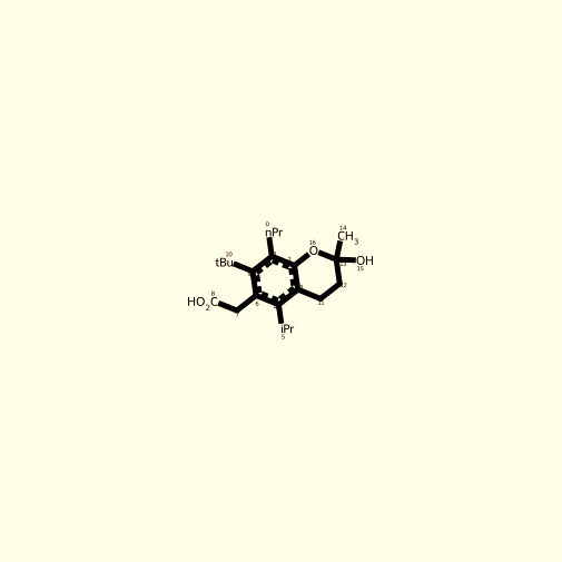 CCCc1c2c(c(C(C)C)c(CC(=O)O)c1C(C)(C)C)CCC(C)(O)O2